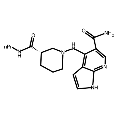 CCCNC(=O)[C@H]1CCCN(Nc2c(C(N)=O)cnc3[nH]ccc23)C1